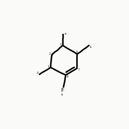 CC1CC(C)C(C)C=C1F